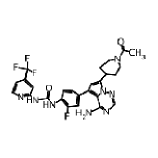 CC(=O)N1CCC(c2cc(-c3ccc(NC(=O)Nc4cc(C(F)(F)F)ccn4)c(F)c3)c3c(N)ncnn23)CC1